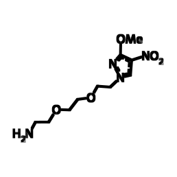 COc1nn(CCOCCOCCN)cc1[N+](=O)[O-]